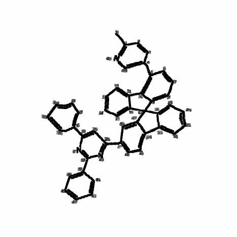 Cc1ccc(-c2cccc3c2-c2ccccc2C32c3ccccc3-c3ccc(-c4cc(-c5ccccc5)nc(-c5ccccc5)n4)cc32)cn1